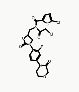 O=C(CCl)N(CC1CN(c2ccc(N3CCOCC3=O)cc2F)C(=O)O1)C(=O)c1ccc(Cl)s1